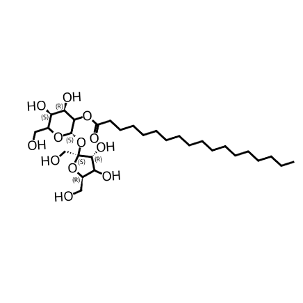 CCCCCCCCCCCCCCCCCC(=O)OC1[C@H](O[C@]2(CO)O[C@H](CO)C(O)[C@H]2O)OC(CO)[C@@H](O)[C@H]1O